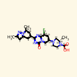 Cc1cc2cc(-c3nc(=O)n4cc(N5CCN(C(=O)O)[C@@H](C)C5)cc(F)c4n3)cc(C)n2n1